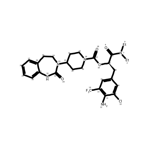 CCN(CC)C(=O)[C@@H](Cc1cc(Cl)c(N)c(C(F)(F)F)c1)OC(=O)N1CCC(N2CCc3ccccc3NC2=O)CC1